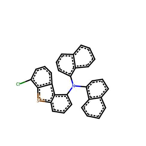 Clc1cccc2c1sc1cccc(N(c3cccc4ccccc34)c3cccc4ccccc34)c12